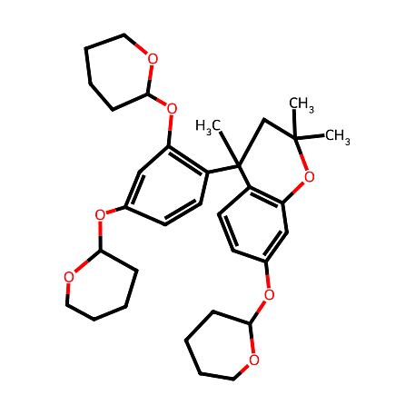 CC1(C)CC(C)(c2ccc(OC3CCCCO3)cc2OC2CCCCO2)c2ccc(OC3CCCCO3)cc2O1